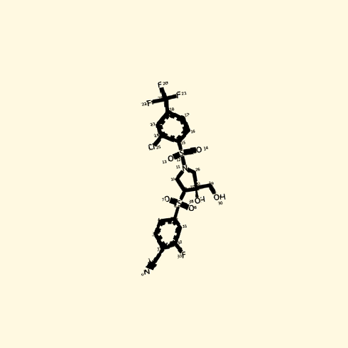 N#Cc1ccc(S(=O)(=O)C2CN(S(=O)(=O)c3ccc(C(F)(F)F)cc3Cl)C[C@]2(O)CO)cc1F